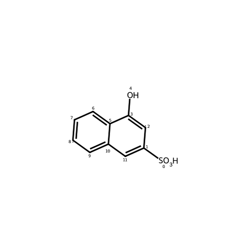 O=S(=O)(O)c1[c]c(O)c2cc[c]cc2c1